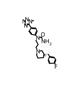 Cn1nnnc1-c1ccc(N(CCCN2CCC[C@@H](Cc3ccc(F)cc3)C2)C(N)=O)cc1